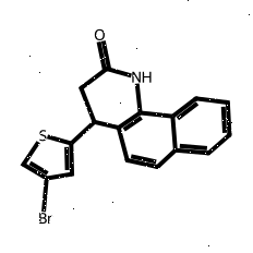 O=C1CC(c2cc(Br)cs2)c2ccc3ccccc3c2N1